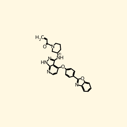 C=CC(=O)N1CCC[C@@H](Nc2n[nH]c3nccc(Oc4ccc(-c5nc6ccccc6o5)cc4)c23)C1